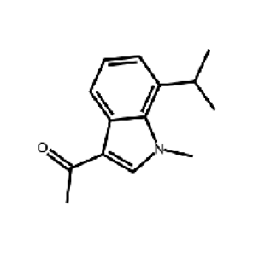 CC(=O)c1cn(C)c2c(C(C)C)cccc12